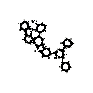 N#Cc1cccc(-c2ccc3sc4ccc(-c5nc(-c6ccccc6)cc(-c6ccccc6)n5)cc4c3c2)c1-n1c2ccccc2c2ccccc21